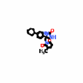 Cc1cccn(CC2(c3ccc(C4CCCCC4)cc3)NC(=O)NC2=O)c1=O